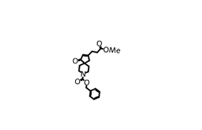 COC(=O)CCC1=CC(=O)C2(CCN(C(=O)OCc3ccccc3)CC2)C1